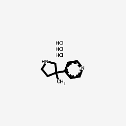 CC1(c2ccncc2)CCNC1.Cl.Cl.Cl